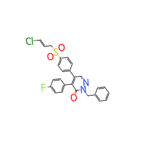 O=c1c(-c2ccc(F)cc2)c(-c2ccc(S(=O)(=O)CC=CCl)cc2)cnn1Cc1ccccc1